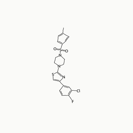 Cc1ccc(S(=O)(=O)N2CCN(c3nc(-c4ccc(F)c(Cl)c4)cs3)CC2)cc1